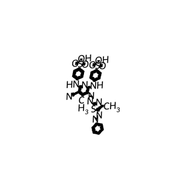 Cc1nc(N=Nc2c(Nc3ccc(S(=O)(=O)O)cc3)nc(Nc3ccc(S(=O)(=O)O)cc3)c(C#N)c2C)sc1N=Nc1ccccc1